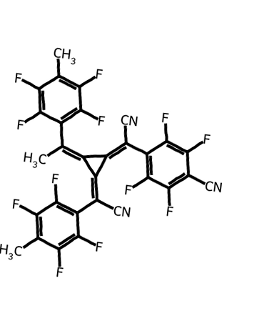 C/C(=C1\C(=C(C#N)c2c(F)c(F)c(C)c(F)c2F)\C1=C(\C#N)c1c(F)c(F)c(C#N)c(F)c1F)c1c(F)c(F)c(C)c(F)c1F